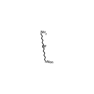 CCCCCCCCCCCCCCCCCCCCCCN.F